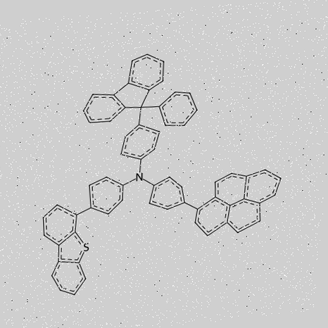 c1ccc(C2(c3ccc(N(c4ccc(-c5ccc6ccc7cccc8ccc5c6c78)cc4)c4ccc(-c5cccc6c5sc5ccccc56)cc4)cc3)c3ccccc3-c3ccccc32)cc1